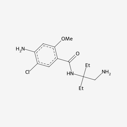 CCC(CC)(CN)NC(=O)c1cc(Cl)c(N)cc1OC